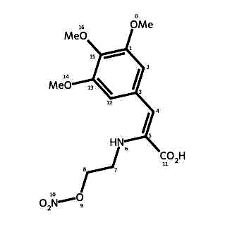 COc1cc(C=C(NCCO[N+](=O)[O-])C(=O)O)cc(OC)c1OC